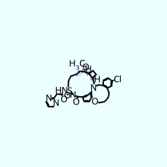 CO[C@H]1/C=C/CCCS(=O)(NC(=O)Cc2ncccn2)=NC(=O)c2ccc3c(c2)N(Cc2ccc(Cl)cc2CCCCO3)C[C@@H]2CC[C@H]21